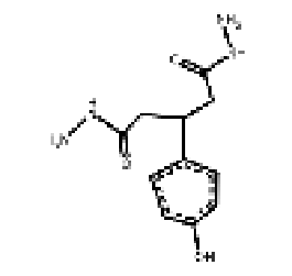 NNC(=O)CC(CC(=O)NN)c1ccc(O)cc1